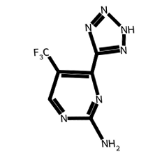 Nc1ncc(C(F)(F)F)c(-c2nn[nH]n2)n1